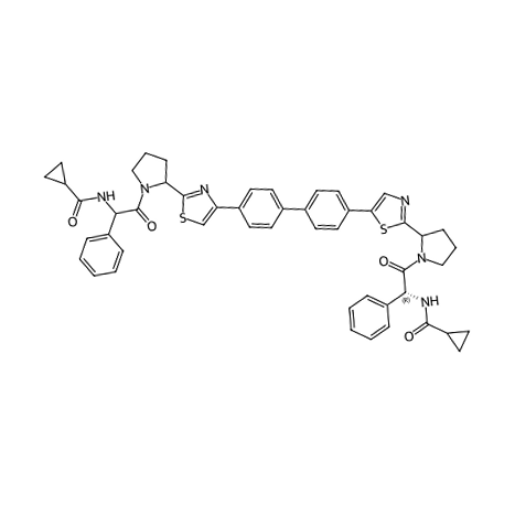 O=C(NC(C(=O)N1CCCC1c1nc(-c2ccc(-c3ccc(-c4cnc(C5CCCN5C(=O)[C@H](NC(=O)C5CC5)c5ccccc5)s4)cc3)cc2)cs1)c1ccccc1)C1CC1